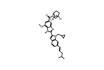 COc1cc(C(=O)N2C[C@H]3CCC2C3N)cc2nc(-c3cc4ccc(/C=C/CC(C)C)cc4n3CC3CC3)n(C)c12